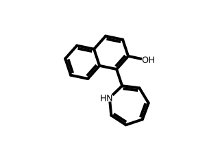 Oc1ccc2ccccc2c1C1=CC=CC=CN1